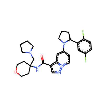 O=C(NC1(CN2CCCC2)CCOCC1)c1cnn2ccc(N3CCCC3c3cc(F)ccc3F)cc12